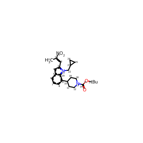 CC(=Cc1cc2cccc(C3CCN(C(=O)OC(C)(C)C)CC3)c2n1CC1CC1)[N+](=O)[O-]